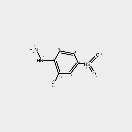 NNc1ccc([SH](=O)=O)cc1Cl